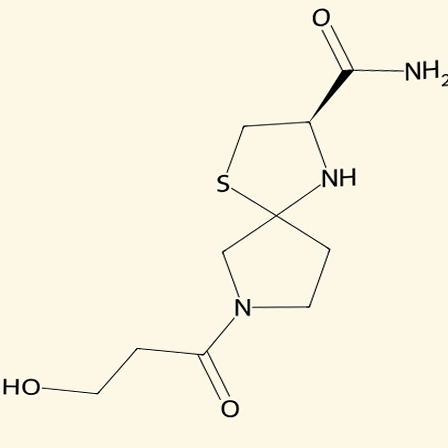 NC(=O)[C@@H]1CSC2(CCN(C(=O)CCO)C2)N1